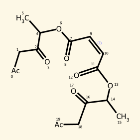 CC(=O)CC(=O)C(C)OC(=O)/C=C\C(=O)OC(C)C(=O)CC(C)=O